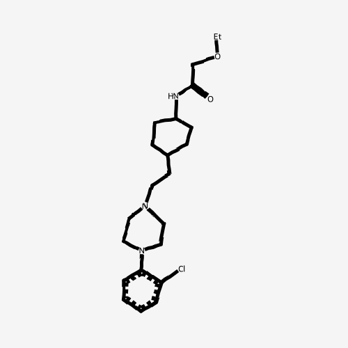 CCOCC(=O)NC1CCC(CCN2CCN(c3ccccc3Cl)CC2)CC1